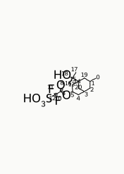 CC1CC2CC(OC(=O)C(F)(F)S(=O)(=O)O)CC(C(C)(C)O)(C1)C2